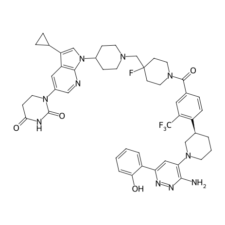 Nc1nnc(-c2ccccc2O)cc1N1CCC[C@H](c2ccc(C(=O)N3CCC(F)(CN4CCC(n5cc(C6CC6)c6cc(N7CCC(=O)NC7=O)cnc65)CC4)CC3)cc2C(F)(F)F)C1